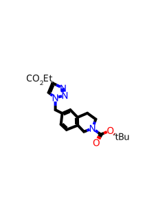 CCOC(=O)c1cn(Cc2ccc3c(c2)CCN(C(=O)OC(C)(C)C)C3)nn1